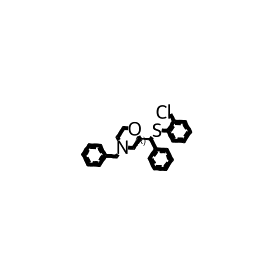 Clc1ccccc1SC(c1ccccc1)[C@H]1CN(Cc2ccccc2)CCO1